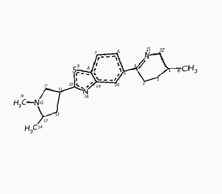 CC1CCC(c2ccc3sc(C4CC(C)N(C)C4)nc3c2)=NC1